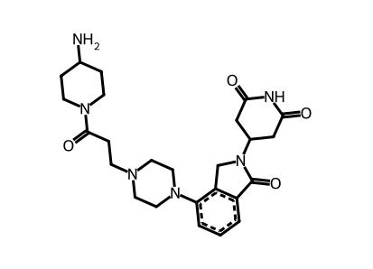 NC1CCN(C(=O)CCN2CCN(c3cccc4c3CN(C3CC(=O)NC(=O)C3)C4=O)CC2)CC1